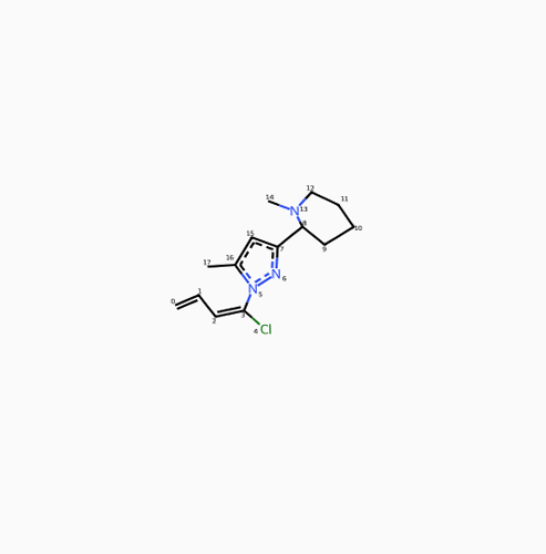 C=C/C=C(/Cl)n1nc(C2CCCCN2C)cc1C